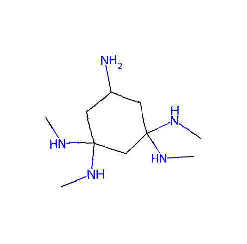 CNC1(NC)CC(N)CC(NC)(NC)C1